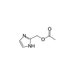 CC(=O)OCc1ncc[nH]1